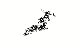 CS(=O)(=O)C(N)c1cc(F)cc(-c2cncc3[nH]c(-c4n[nH]c5cnc(-c6cncc(NC(=O)CC7CCCCC7)c6)cc45)cc23)c1